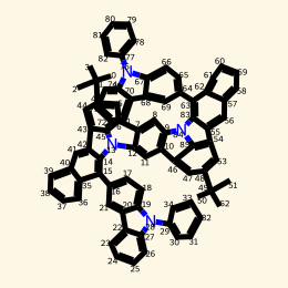 CC(C)(C)c1cc2c3cc4c(cc3n3c5c(-c6ccc7c(c6)c6ccccc6n7-c6ccccc6)c6ccccc6cc5c(c1)c23)c1cc(C(C)(C)C)cc2c3cc5ccccc5c(-c5ccc6c(c5)c5ccccc5n6-c5ccccc5)c3n4c12